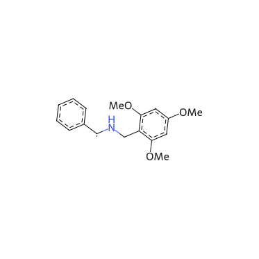 COc1cc(OC)c(CN[CH]c2ccccc2)c(OC)c1